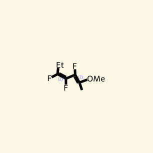 CC/C(F)=C(F)\C(F)=C(/C)OC